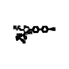 CCC[C@H](N[C@H](CF)c1ccc(-c2ccc(C#N)cc2)cc1)C(=O)NC1(C#N)CC1